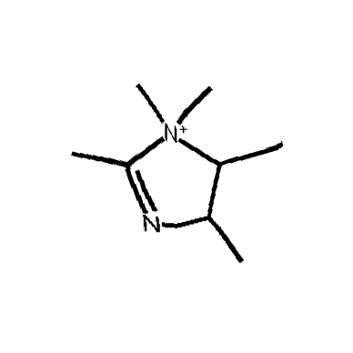 CC1=NC(C)C(C)[N+]1(C)C